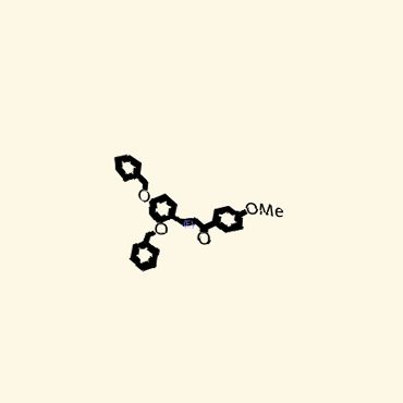 COc1ccc(C(=O)/C=C/c2ccc(OCc3ccccc3)cc2OCc2ccccc2)cc1